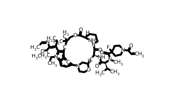 C=CC(=O)N1CCC(F)(C(=O)N(C)[C@H](C(=O)N[C@H]2C[C@H]3CN(CCO3)c3ccc4c(c3)c(c(/C(C=C)=C(/N=C\C)[C@H](C)OC)n4CC)CC(C)(C)COC(=O)[C@@H]3CCCN(N3)C2=O)C(C)C)CC1